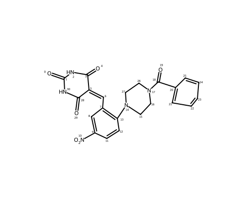 O=C1NC(=O)C(=Cc2cc([N+](=O)[O-])ccc2N2CCN(C(=O)c3ccccc3)CC2)C(=O)N1